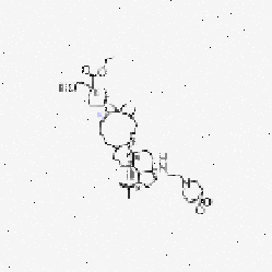 C=C(C)[C@@H]1CC[C@]2(NCCN3CCS(=O)(=O)CC3)CC[C@]3(C)[C@H](CCC4CC/C=C(/C5=CC[C@@](CO)(C(=O)OCC)CC5)C(C)(C)C(C)CC[C@]43C)C12